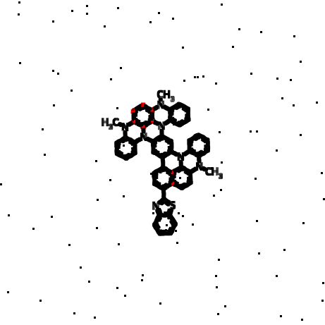 CN1c2ccccc2N(c2cc(N3c4ccccc4N(C)c4ccccc43)c(N3c4ccccc4N(C)c4ccccc43)cc2-c2ccc(-c3nc4ccccc4s3)cc2)c2ccccc21